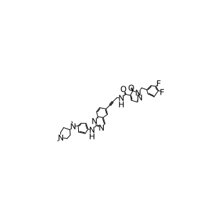 CN1CCC(N(C)c2ccc(Nc3ncc4cc(C#CCNC(=O)c5ccnn(Cc6ccc(F)c(F)c6)c5=O)ccc4n3)cc2)CC1